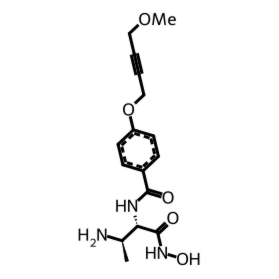 COCC#CCOc1ccc(C(=O)N[C@H](C(=O)NO)[C@@H](C)N)cc1